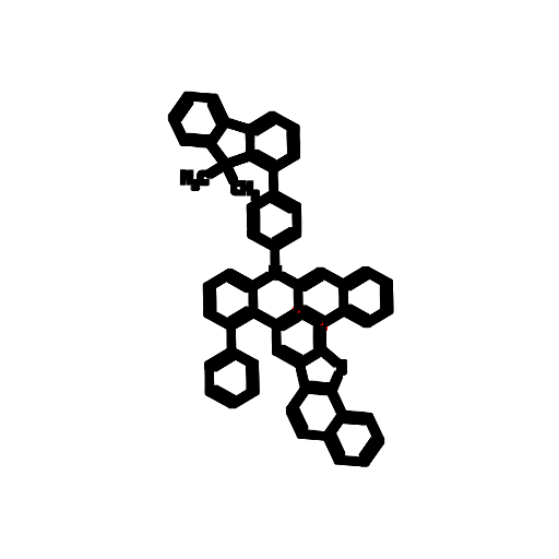 CC1(C)c2ccccc2-c2cccc(-c3ccc(N(c4ccc5ccccc5c4)c4cccc(-c5ccccc5)c4-c4ccc5sc6c7ccccc7ccc6c5c4)cc3)c21